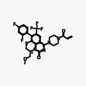 C=CC(=O)N1CCN(c2nc(=O)n3c4c(c(-c5ccc(F)cc5F)c(C(F)(F)F)cc24)SC[C@@H]3COC)CC1